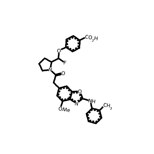 COc1cc(CC(=O)N2CCCC2C(F)Oc2ccc(C(=O)O)cc2)cc2oc(Nc3ccccc3C)nc12